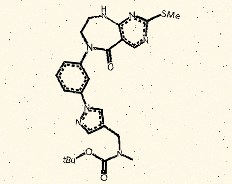 CSc1ncc2c(n1)NCCN(c1cccc(-n3cc(CN(C)C(=O)OC(C)(C)C)cn3)c1)C2=O